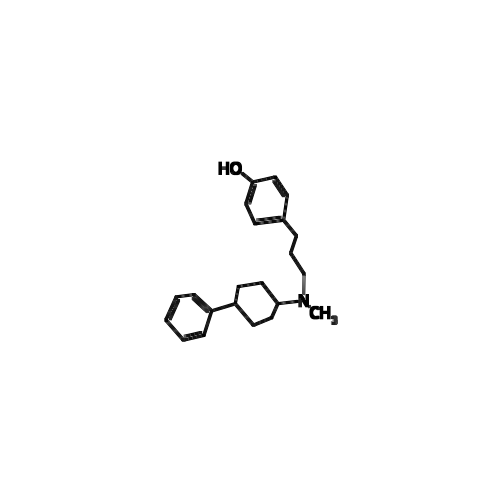 CN(CCCc1ccc(O)cc1)C1CCC(c2ccccc2)CC1